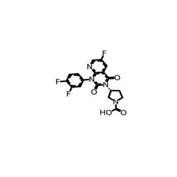 O=C(O)N1CC[C@@H](n2c(=O)c3cc(F)cnc3n(-c3ccc(F)c(F)c3)c2=O)C1